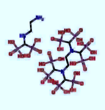 NCCNC(P(=O)(O)O)P(=O)(O)O.O=P(O)(O)C(N(CCN(C(P(=O)(O)O)P(=O)(O)O)C(P(=O)(O)O)P(=O)(O)O)C(P(=O)(O)O)P(=O)(O)O)P(=O)(O)O